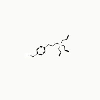 C=CCS(CC=C)(CC=C)CCCc1ccc(CO)cc1